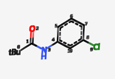 CC(C)(C)C(=O)Nc1cccc(Cl)c1